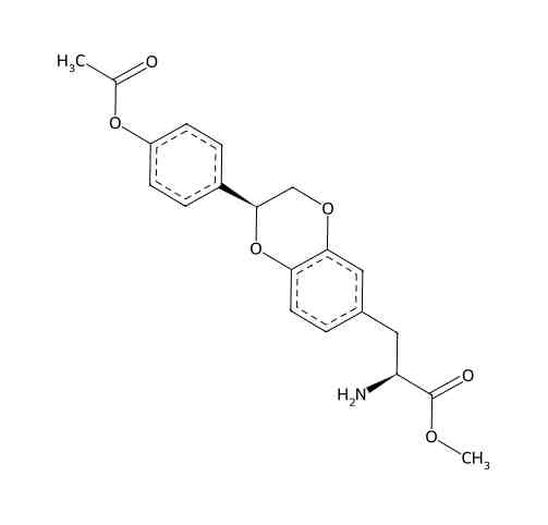 COC(=O)[C@@H](N)Cc1ccc2c(c1)OC[C@H](c1ccc(OC(C)=O)cc1)O2